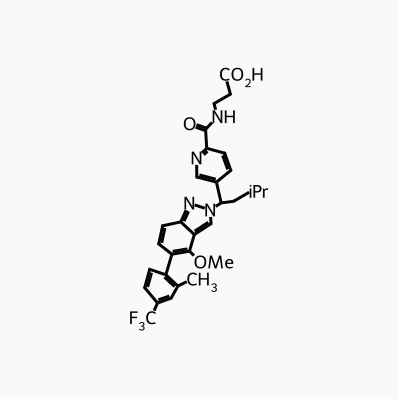 COc1c(-c2ccc(C(F)(F)F)cc2C)ccc2nn(C(CC(C)C)c3ccc(C(=O)NCCC(=O)O)nc3)cc12